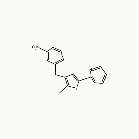 Cc1sc(-c2ccccn2)cc1Cc1cccc([N+](=O)[O-])c1